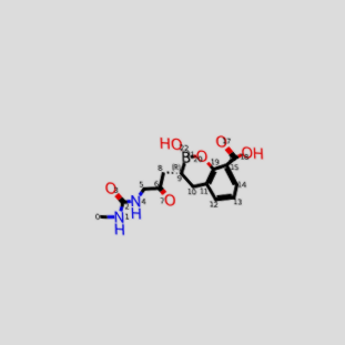 CNC(=O)NCC(=O)C[C@H]1Cc2cccc(C(=O)O)c2OB1O